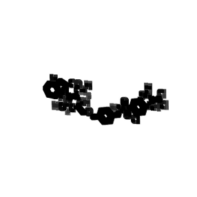 C[C@H](N[C@@H](COCc1ccc(CNS(=O)(=O)c2cc3c(cc2Cl)NC(C(Cl)Cl)NS3)cc1)C(=O)O)C(=O)N1[C@@H]2CCCC[C@@H]2C[C@H]1C(=O)O